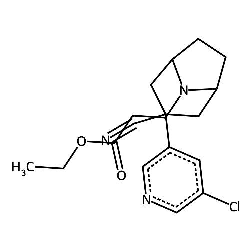 CCOC(=O)CCN1C2CCC1CC(C#N)(c1cncc(Cl)c1)C2